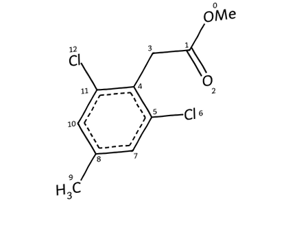 COC(=O)Cc1c(Cl)cc(C)cc1Cl